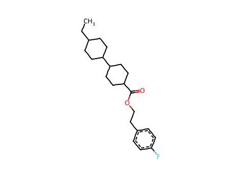 CCC1CCC(C2CCC(C(=O)OCCc3ccc(F)cc3)CC2)CC1